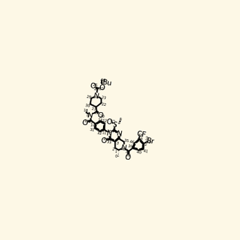 C[C@@H]1Cc2c(nc([S+](C)[O-])n(-c3ccc(C(=O)N(C)C(=O)C4CCN(C(=O)OC(C)(C)C)CC4)cc3)c2=O)CN1C(=O)c1ccc(Br)c(C(F)(F)F)c1